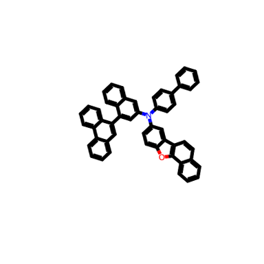 c1ccc(-c2ccc(N(c3cc(-c4cc5ccccc5c5ccccc45)c4ccccc4c3)c3ccc4oc5c6ccccc6ccc5c4c3)cc2)cc1